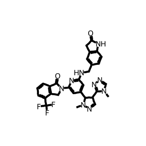 CN1N=CC(c2nncn2C)C1c1cc(NCc2ccc3c(c2)CC(=O)N3)nc(N2Cc3c(cccc3C(F)(F)F)C2=O)c1